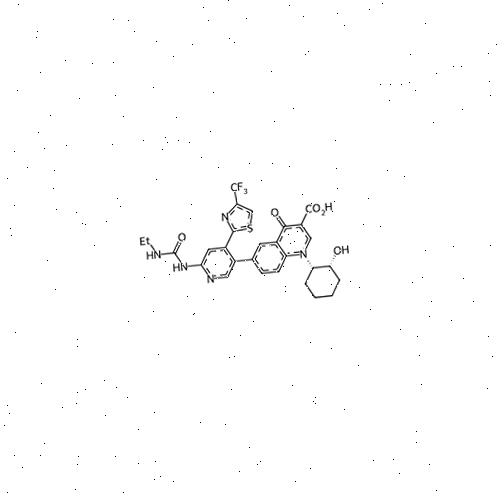 CCNC(=O)Nc1cc(-c2nc(C(F)(F)F)cs2)c(-c2ccc3c(c2)c(=O)c(C(=O)O)cn3[C@H]2CCCC[C@H]2O)cn1